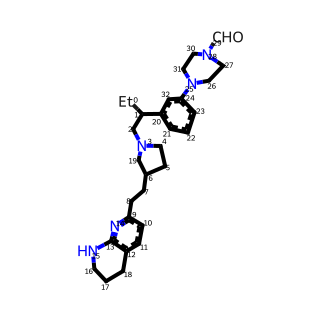 CCC(CN1CCC(CCc2ccc3c(n2)NCCC3)C1)c1cccc(N2CCN(C=O)CC2)c1